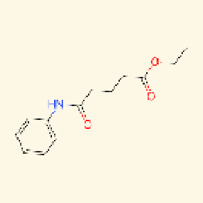 CCOC(=O)CCCC(=O)Nc1ccccc1